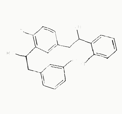 CC(C)c1cccc(CC(C)c2cc(CC(C)c3ccccc3Cl)ccc2F)c1